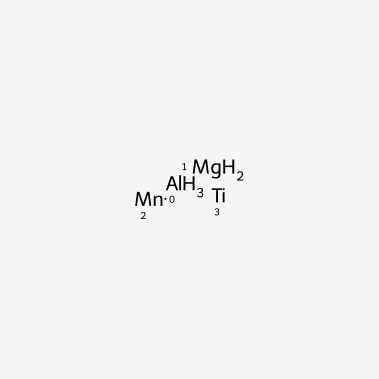 [AlH3].[MgH2].[Mn].[Ti]